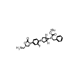 CC(C)(C)OC(=O)N(Cc1ccccc1)[C@H]1[C@@H]2CN(c3ccc(N4C[C@@H](CN)OC4=O)cc3F)C[C@@H]21